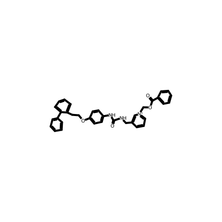 O=C(NCc1ccc[n+](COC(=O)c2ccccc2)c1)Nc1ccc(OCCc2ccccc2-c2ccccc2)cc1